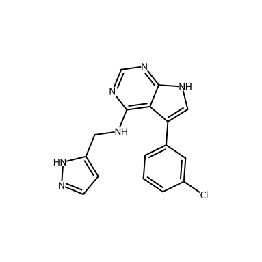 Clc1cccc(-c2c[nH]c3ncnc(NCc4ccn[nH]4)c23)c1